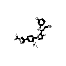 COc1cc(-c2cnn(C(F)F)c2)ccc1-n1ccc(=O)c(/C(=C/C=N)Nc2cccc(Cl)c2)n1